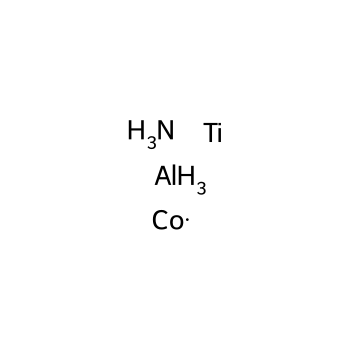 N.[AlH3].[Co].[Ti]